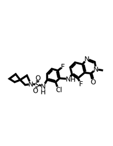 Cn1cnc2ccc(Nc3c(F)ccc(NS(=O)(=O)N4CC5(CCC5)C4)c3Cl)c(F)c2c1=O